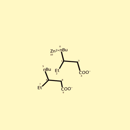 CCCCC(CC)CC(=O)[O-].CCCCC(CC)CC(=O)[O-].[Zn+2]